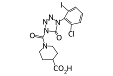 O=C(O)C1CCN(C(=O)n2nnn(-c3c(Cl)cccc3I)c2=O)CC1